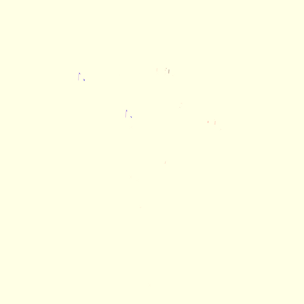 CC(C)(C)C(=O)C(=CCc1ccccc1)n1ccnc1